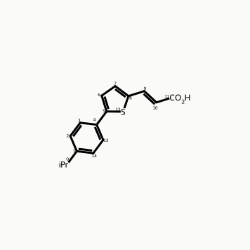 CC(C)c1ccc(-c2ccc(C=CC(=O)O)s2)cc1